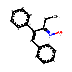 CCC(=NO)C(=Cc1ccccc1)c1ccccc1